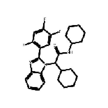 O=C(NC1CCCCC1)C(C1CCCCC1)n1c(-c2cc(F)c(F)cc2F)nc2ccccc21